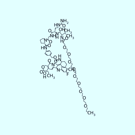 CCCOCCOCCOCCOCCOCCOCCOCCOCCOCCC(=O)N[C@H](C(C)C)C(O)N[C@H](CCNC(N)=O)C(=O)NCC(=O)N1CCC[C@@H]1C(=O)Nc1ccc(COC(=O)N[C@H]2CCc3c(C)c(F)cc4nc5c(c2c34)Cn2c-5cc3c(c2=O)COC(=O)[C@]3(O)CC)cc1